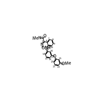 CNC(=O)/C(=N/OC)c1ccccc1Oc1cccc(Oc2cccc(OC)c2)c1